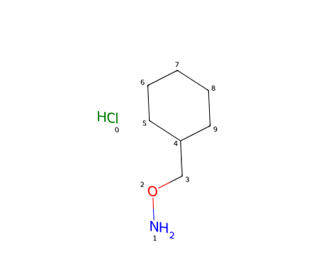 Cl.NOCC1CCCCC1